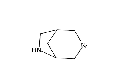 C1[N]CC2CC1CN2